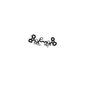 NC(OC(=O)CCCCC(C=O)C(=O)OC(N)C1c2ccccc2-c2ccccc21)C1c2ccccc2-c2ccccc21